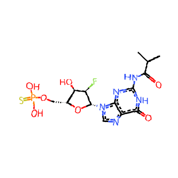 CC(C)C(=O)Nc1nc2c(ncn2[C@@H]2O[C@H](COP(O)(O)=S)[C@@H](O)[C@H]2F)c(=O)[nH]1